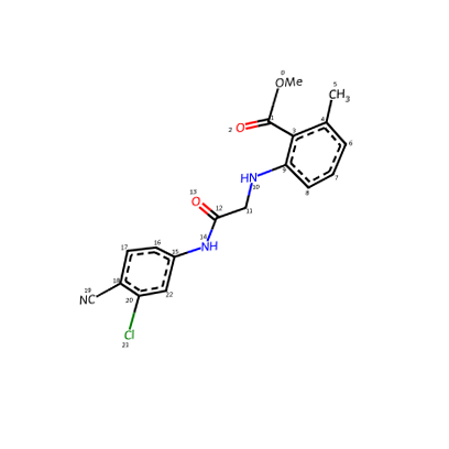 COC(=O)c1c(C)cccc1NCC(=O)Nc1ccc(C#N)c(Cl)c1